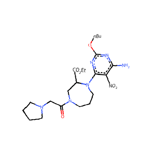 CCCCOc1nc(N)c([N+](=O)[O-])c(N2CCCN(C(=O)CN3CCCC3)CC2C(=O)OCC)n1